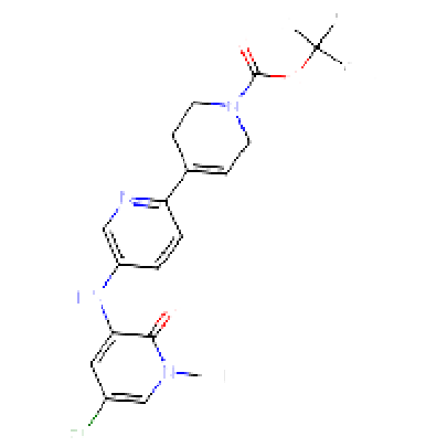 Cn1cc(Br)cc(Nc2ccc(C3=CCN(C(=O)OC(C)(C)C)CC3)nc2)c1=O